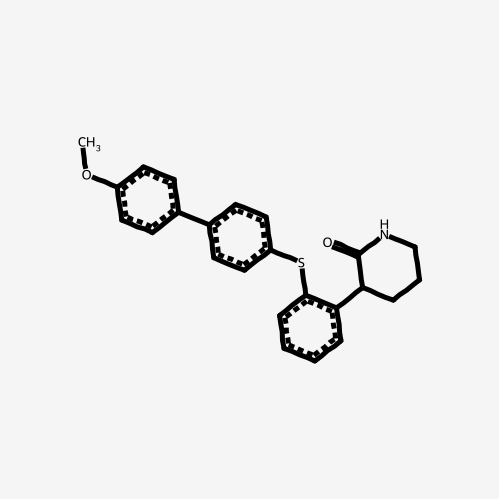 COc1ccc(-c2ccc(Sc3ccccc3C3CCCNC3=O)cc2)cc1